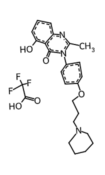 Cc1nc2cccc(O)c2c(=O)n1-c1ccc(OCCCN2CCCCC2)cc1.O=C(O)C(F)(F)F